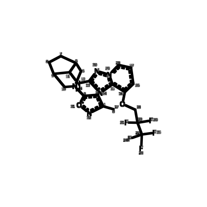 Cc1cc(N2CC3CCC(C2)C3Nc2nc3c(OCC(F)(F)C(F)(F)F)cccn3n2)on1